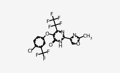 Cc1nc(-c2nc(C(F)(F)C(F)(F)F)c(Oc3ccc(Cl)c(C(F)(F)F)c3)c(=O)[nH]2)co1